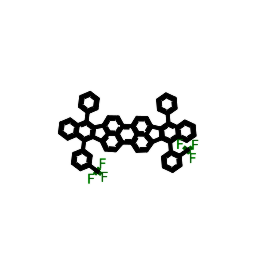 FC(F)(F)c1cccc(-c2c3c(c(-c4ccccc4)c4ccccc24)-c2ccc4c5ccc6c7c(ccc(c8ccc-3c2c48)c75)-c2c-6c(-c3ccccc3)c3ccccc3c2-c2ccccc2C(F)(F)F)c1